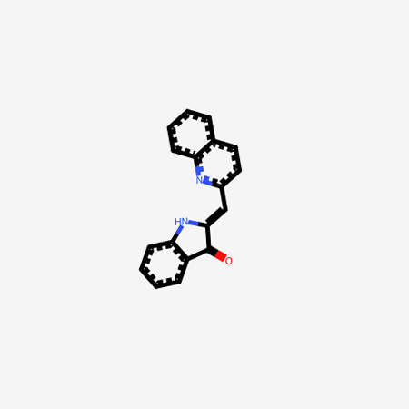 O=C1C(=Cc2ccc3ccccc3n2)Nc2ccccc21